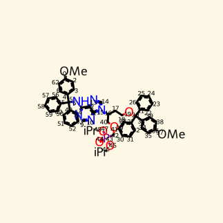 COc1ccc(C(Nc2ncnc3c2ncn3C(CCOC(c2ccccc2)(c2ccccc2)c2ccc(OC)cc2)COCP(=O)(OC(C)C)OC(C)C)(c2ccccc2)c2ccccc2)cc1